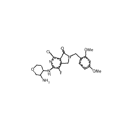 COc1ccc(CN2Cc3c(F)c(NC4CCOCC4N)nc(Cl)c3C2=O)c(OC)c1